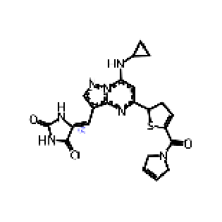 O=C1NC(=O)/C(=C/c2cnn3c(NC4CC4)cc(C4CC=C(C(=O)N5CC=CC5)S4)nc23)N1